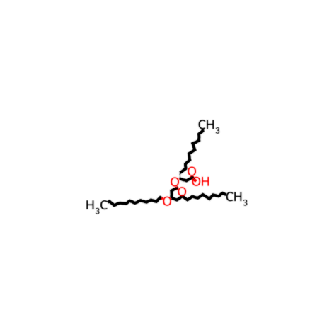 CCCCCCCCCCCCOC(CCCCCCCCCCC)CC(=O)O[C@H](CCCCCCCCCCC)CC(=O)O